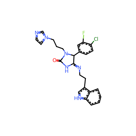 O=C1NC(=NCCc2c[nH]c3ccccc23)C(c2ccc(Cl)c(F)c2)N1CCCn1ccnc1